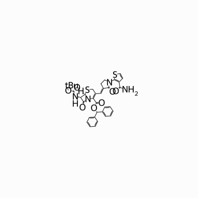 CC(C)(C)OC(=O)N[C@@H]1C(=O)N2C(C(=O)OC(c3ccccc3)c3ccccc3)=C(C=C3CCN(c4sccc4C(N)=O)C3=O)CS[C@H]12